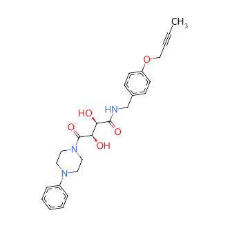 CC#CCOc1ccc(CNC(=O)[C@H](O)[C@@H](O)C(=O)N2CCN(c3ccccc3)CC2)cc1